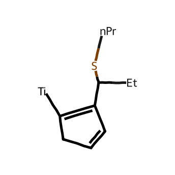 CCCSC(CC)C1=[C]([Ti])CC=C1